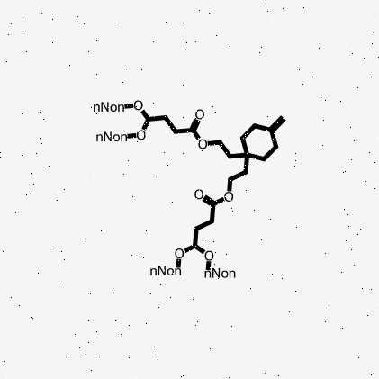 C=C1CCC(CCOC(=O)CCC(OCCCCCCCCC)OCCCCCCCCC)(CCOC(=O)CCC(OCCCCCCCCC)OCCCCCCCCC)CC1